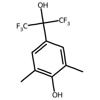 Cc1cc(C(O)(C(F)(F)F)C(F)(F)F)cc(C)c1O